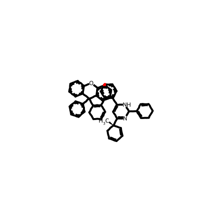 C[C@@]1(C2=NC(C3=CCCC=C3)NC(c3ccccc3C3=C(C4(c5ccccc5)c5ccccc5Oc5ccccc54)CCC=C3)=C2)C=CC=CC1